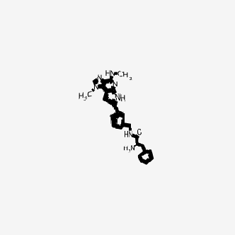 CNc1nc2[nH]c(-c3cccc(CNC(=O)[C@H](N)Cc4ccccc4)c3)cc2c2c1ncn2C